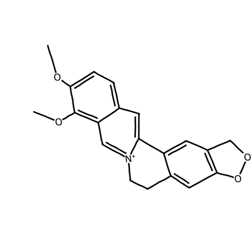 COc1ccc2cc3[n+](cc2c1OC)CCc1cc2c(cc1-3)COO2